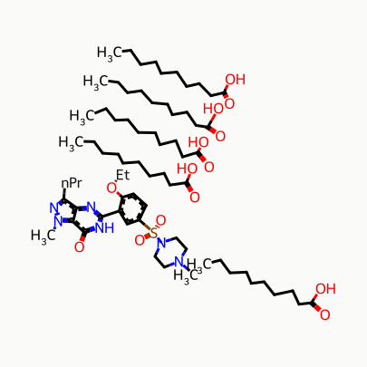 CCCCCCCCCC(=O)O.CCCCCCCCCC(=O)O.CCCCCCCCCC(=O)O.CCCCCCCCCC(=O)O.CCCCCCCCCC(=O)O.CCCc1nn(C)c2c(=O)[nH]c(-c3cc(S(=O)(=O)N4CCN(C)CC4)ccc3OCC)nc12